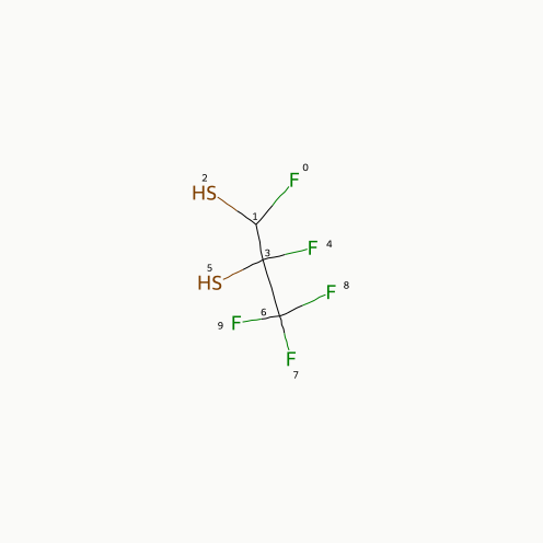 FC(S)C(F)(S)C(F)(F)F